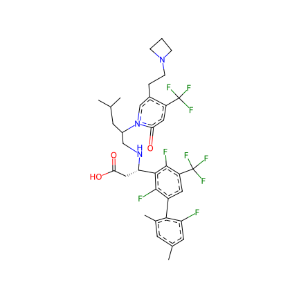 Cc1cc(C)c(-c2cc(C(F)(F)F)c(F)c([C@H](CC(=O)O)NCC(CC(C)C)n3cc(CCN4CCC4)c(C(F)(F)F)cc3=O)c2F)c(F)c1